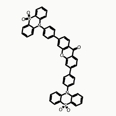 O=c1c2ccc(-c3ccc(N4c5ccccc5S(=O)(=O)c5ccccc54)cc3)cc2oc2cc(-c3ccc(N4c5ccccc5S(=O)(=O)c5ccccc54)cc3)ccc12